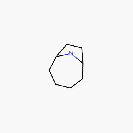 C1CCC2CC[C](C1)[N]2